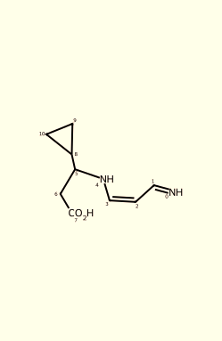 N=C/C=C\NC(CC(=O)O)C1CC1